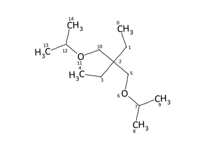 CCC(CC)(COC(C)C)COC(C)C